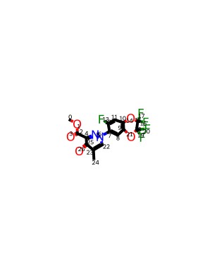 COC(=O)c1nn(-c2cc3c(cc2F)OC(F)(F)C(F)(F)O3)cc(C)c1=O